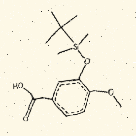 COc1ccc(C(=O)O)cc1O[Si](C)(C)C(C)(C)C